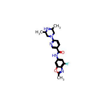 Cc1nc2c(F)cc(NC(=O)c3ccc(N4CC(C)NC(C)C4)nc3)cc2o1